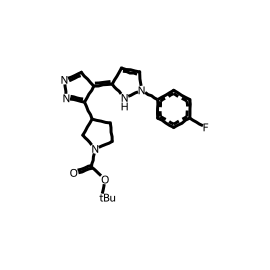 CC(C)(C)OC(=O)N1CCC(C2=NN=CC2=C2C=CN(c3ccc(F)cc3)N2)C1